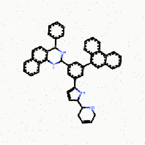 C1=CC(C2CC=CCN2)NC=1c1cc(-c2cc3ccccc3c3ccccc23)cc(C2Nc3c(ccc4ccccc34)C(c3ccccc3)N2)c1